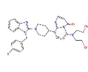 CN(c1nccc(=O)n1C(=O)N(CCO)CCO)C1CCN(c2nc3ccccc3n2Cc2ccc(F)cc2)CC1